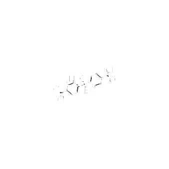 CCC(C)(c1ccc(C(=O)Cl)cc1)c1ccc(C(=O)Cl)cc1